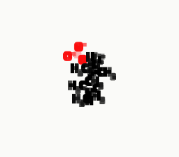 C[SiH](C)C.C[SiH](C)C.[Li+].[Li+].[Li+].[O-]B([O-])[O-]